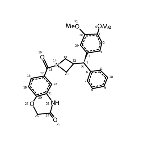 COc1ccc([C@@H](c2ccccc2)C2CN(C(=O)c3ccc4c(c3)NC(=O)CO4)C2)cc1OC